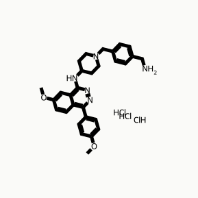 COc1ccc(-c2nnc(NC3CCN(Cc4ccc(CN)cc4)CC3)c3cc(OC)ccc23)cc1.Cl.Cl.Cl